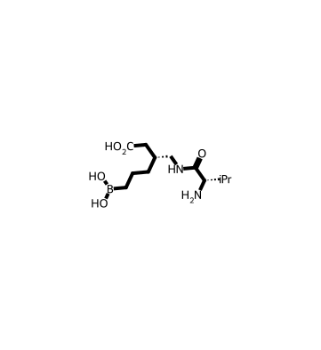 CC(C)[C@H](N)C(=O)NC[C@H](CCCB(O)O)CC(=O)O